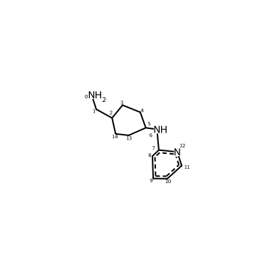 NCC1CCC(Nc2ccccn2)CC1